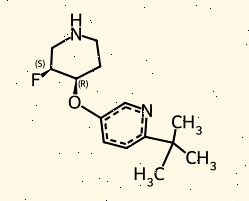 CC(C)(C)c1ccc(O[C@@H]2CCNC[C@@H]2F)cn1